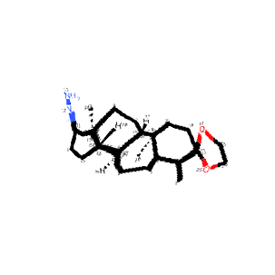 CC1C2CC[C@@H]3[C@H](CC[C@]4(C)/C(=N\N)CC[C@@H]34)[C@@]2(C)CCC12OCCO2